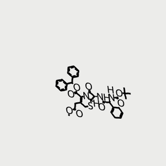 COC(=O)CC1=C(C(=O)OC(c2ccccc2)c2ccccc2)N2C(=O)[C@@H](NC(=O)C(NC(=O)OC(C)(C)C)C3=CCC=CC3)[C@@H]2SC1